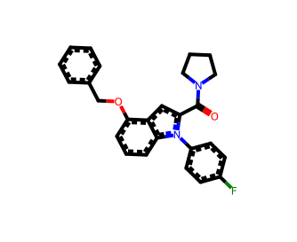 O=C(c1cc2c(OCc3ccccc3)cccc2n1-c1ccc(F)cc1)N1CCCC1